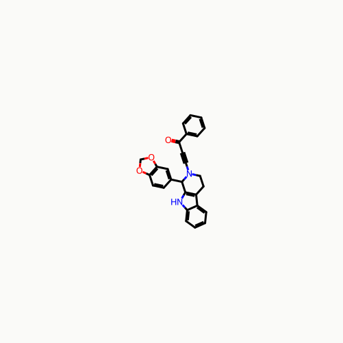 O=C(C#CN1CCc2c([nH]c3ccccc23)C1c1ccc2c(c1)OCO2)c1ccccc1